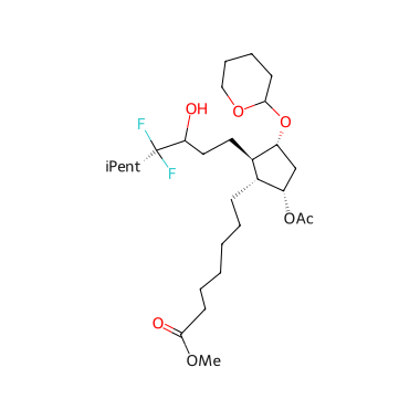 CCC[C@@H](C)C(F)(F)C(O)CC[C@@H]1[C@@H](CCCCCCC(=O)OC)[C@@H](OC(C)=O)C[C@H]1OC1CCCCO1